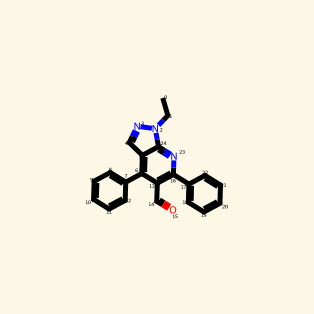 CCn1ncc2c(-c3ccccc3)c(C=O)c(-c3ccccc3)nc21